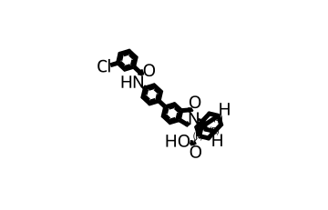 O=C(Nc1ccc(-c2ccc3c(c2)C(=O)N([C@@]24C[C@@H]5C[C@@H](C[C@@](C(=O)O)(C5)C2)C4)C3)cc1)c1cccc(Cl)c1